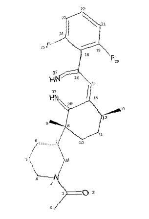 CC(=O)N1CCC[C@H]([C@@]2(C)CC[C@H](C)/C(=C/C(=N)c3c(F)cccc3F)C2=N)C1